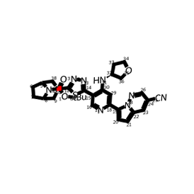 CC(C)(C)OC(=O)N1C2CCC1CN(c1nnc(-c3cnc(-c4ccc5cc(C#N)cnn45)cc3N[C@@H]3CCOC3)s1)C2